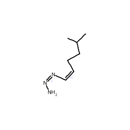 CC(C)CC/C=C\N=N/N